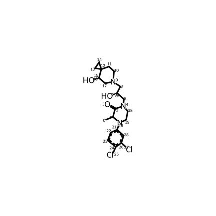 CC1C(=O)N(C[C@@H](O)CN2CCC3(CC3)[C@H](O)C2)CCN1c1ccc(Cl)c(Cl)c1